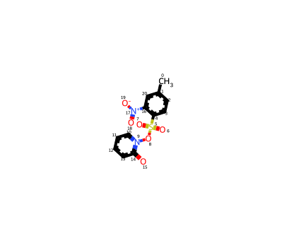 Cc1ccc(S(=O)(=O)On2ccccc2=O)c([N+](=O)[O-])c1